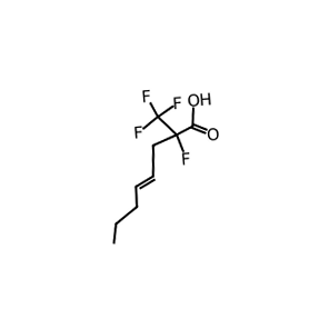 CCCC=CCC(F)(C(=O)O)C(F)(F)F